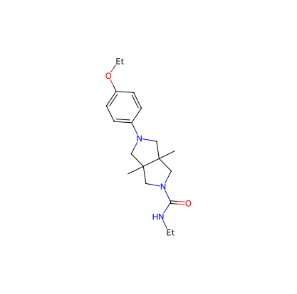 CCNC(=O)N1CC2(C)CN(c3ccc(OCC)cc3)CC2(C)C1